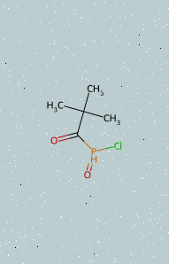 CC(C)(C)C(=O)[PH](=O)Cl